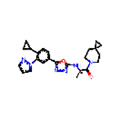 C[C@@H](Nc1nnc(-c2ccc(C3CC3)c(-n3cccn3)c2)o1)C(=O)N1CCC2(CC1)CC2